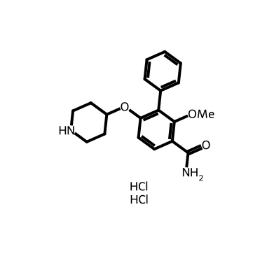 COc1c(C(N)=O)ccc(OC2CCNCC2)c1-c1ccccc1.Cl.Cl